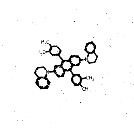 CC1=C(C)CCC(c2c3cc(N4CCCc5ccccc54)ccc3c(-c3ccc(C)c(C)c3)c3cc(N4CCCc5ccccc54)ccc23)=C1